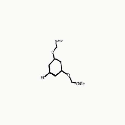 CCC1CC(OCOC)CC(OCOC)C1